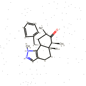 C[C@@H]1C(=O)C(C#N)C[C@]2(Cc3ccccc3)c3c(cnn3C)CC[C@@H]12